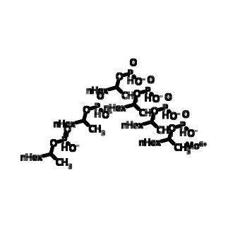 CCCCCCC(C)O[PH](=O)[O-].CCCCCCC(C)O[PH](=O)[O-].CCCCCCC(C)O[PH](=O)[O-].CCCCCCC(C)O[PH](=O)[O-].CCCCCCC(C)O[PH](=O)[O-].CCCCCCC(C)O[PH](=O)[O-].[Mo+6]